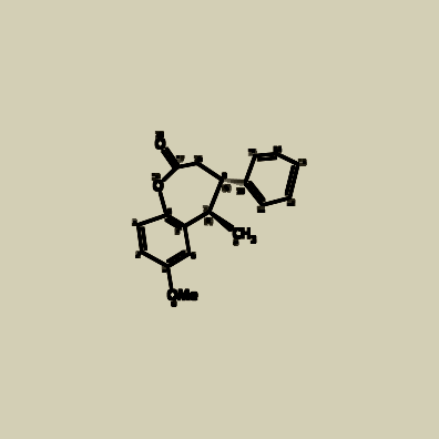 COc1ccc2c(c1)[C@H](C)[C@@H](c1ccccc1)CC(=O)O2